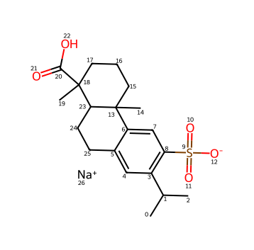 CC(C)c1cc2c(cc1S(=O)(=O)[O-])C1(C)CCCC(C)(C(=O)O)C1CC2.[Na+]